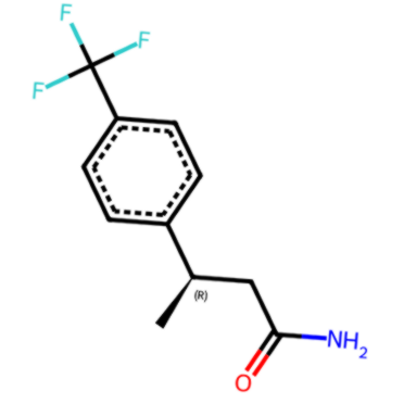 C[C@H](CC(N)=O)c1ccc(C(F)(F)F)cc1